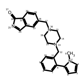 Cn1cccc1-c1ccccc1CN1CCN(Cc2ccc3c(c2)C=NC3=O)CC1